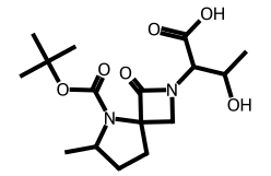 CC(O)C(C(=O)O)N1CC2(CCC(C)N2C(=O)OC(C)(C)C)C1=O